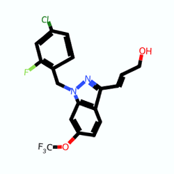 OCC=Cc1nn(Cc2ccc(Cl)cc2F)c2cc(OC(F)(F)F)ccc12